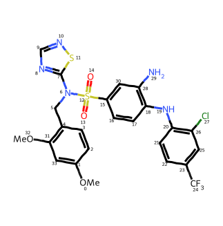 COc1ccc(CN(c2ncns2)S(=O)(=O)c2ccc(Nc3ccc(C(F)(F)F)cc3Cl)c(N)c2)c(OC)c1